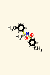 Cc1ccc(S(=O)(=O)/N=S(\C)c2cccc(C)c2)cc1